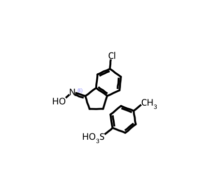 Cc1ccc(S(=O)(=O)O)cc1.O/N=C1\CCc2ccc(Cl)cc21